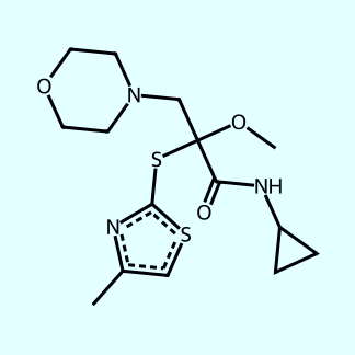 COC(CN1CCOCC1)(Sc1nc(C)cs1)C(=O)NC1CC1